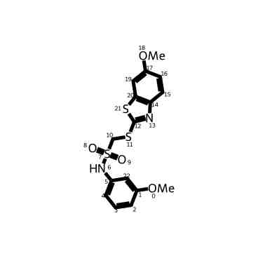 COc1cccc(NS(=O)(=O)CSc2nc3ccc(OC)cc3s2)c1